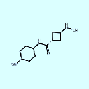 CC(C)(C)[C@H]1CC[C@@H](NC(=O)[C@H]2C[C@H](NC#N)C2)CC1